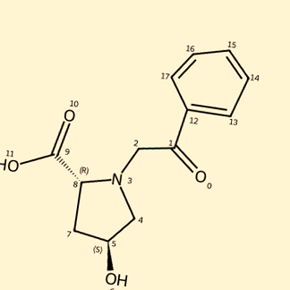 O=C(CN1C[C@@H](O)C[C@@H]1C(=O)O)c1ccccc1